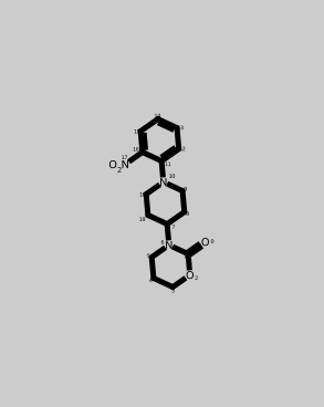 O=C1OCCCN1C1CCN(c2ccccc2[N+](=O)[O-])CC1